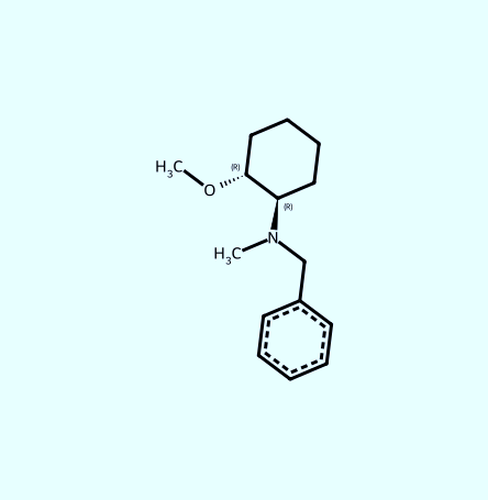 CO[C@@H]1CCCC[C@H]1N(C)Cc1ccccc1